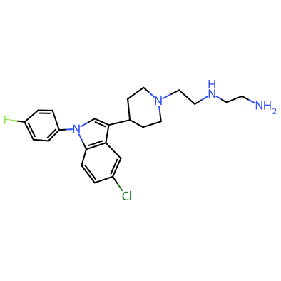 NCCNCCN1CCC(c2cn(-c3ccc(F)cc3)c3ccc(Cl)cc23)CC1